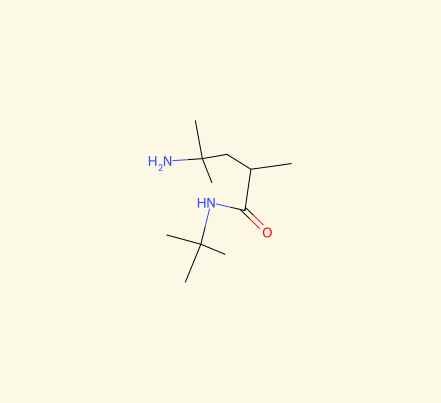 CC(CC(C)(C)N)C(=O)NC(C)(C)C